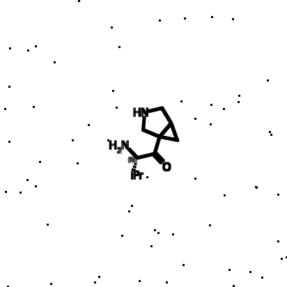 CC(C)[C@H](N)C(=O)C12CNCC1C2